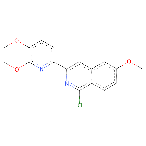 COc1ccc2c(Cl)nc(-c3ccc4c(n3)OCCO4)cc2c1